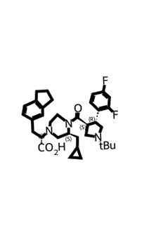 CC(C)(C)N1C[C@@H](C(=O)N2CCN([C@@H](Cc3ccc4c(c3)CCC4)C(=O)O)C[C@@H]2CC2CC2)[C@H](c2ccc(F)cc2F)C1